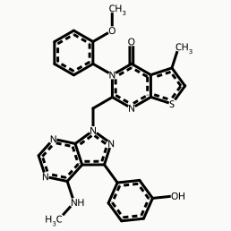 CNc1ncnc2c1c(-c1cccc(O)c1)nn2Cc1nc2scc(C)c2c(=O)n1-c1ccccc1OC